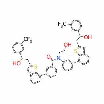 O=C(c1cccc(-c2cccc3cc(CC(O)c4cccc(C(F)(F)F)c4)sc23)c1)N(CCO)c1cccc(-c2cccc3cc(CC(O)c4cccc(C(F)(F)F)c4)sc23)c1